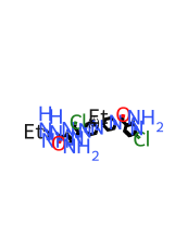 CCNC(=N)NC(=O)c1nc(Cl)c(N2CCN(C3CCN(C(=O)c4ccc(Cl)nc4N)CC3)[C@@H](CC)C2)nc1N